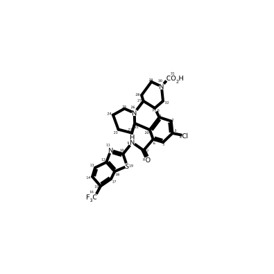 Cc1cc(Cl)cc(C(=O)Nc2nc3ccc(C(F)(F)F)cc3s2)c1C1CCCCN1C1CCN(C(=O)O)CC1